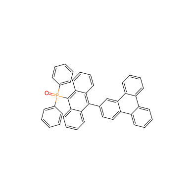 O=P(c1ccccc1)(c1ccccc1)c1c2ccccc2c(-c2ccc3c4ccccc4c4ccccc4c3c2)c2ccccc12